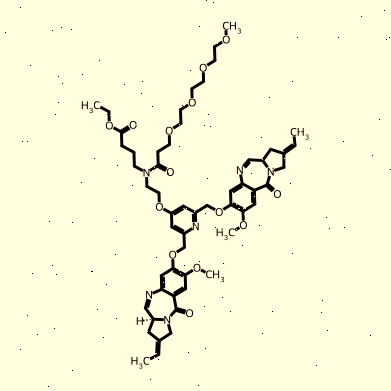 C/C=C1\CC2C=Nc3cc(OCc4cc(OCCN(CCCC(=O)OCC)C(=O)CCOCCOCCOCCOC)cc(COc5cc6c(cc5OC)C(=O)N5C/C(=C/C)C[C@H]5C=N6)n4)c(OC)cc3C(=O)N2C1